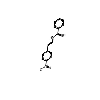 N=C(NC=Cc1ccc([N+](=O)[O-])cc1)c1ccccc1